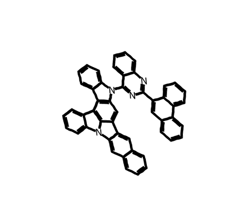 c1ccc2cc3c(cc2c1)c1cc2c(c4ccccc4n2-c2nc(-c4cc5ccccc5c5ccccc45)nc4ccccc24)c2c4ccccc4n3c12